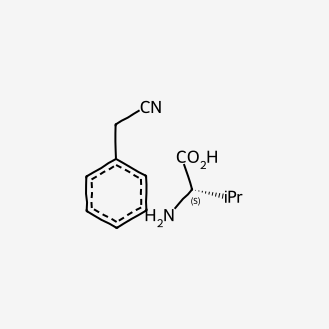 CC(C)[C@H](N)C(=O)O.N#CCc1ccccc1